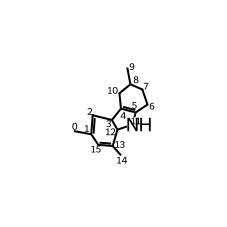 CC1=CC2C3=C(CCC(C)C3)NC2C(C)=C1